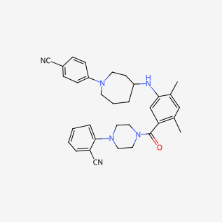 Cc1cc(C)c(C(=O)N2CCN(c3ccccc3C#N)CC2)cc1NC1CCCN(c2ccc(C#N)cc2)CC1